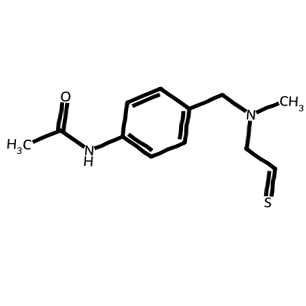 CC(=O)Nc1ccc(CN(C)CC=S)cc1